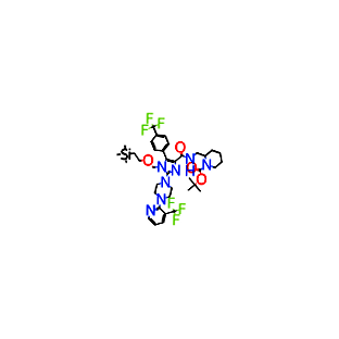 CC(C)(C)OC(=O)N1CCCCC1CNC(=O)c1nc(N2CCN(c3ncccc3C(F)(F)F)CC2)n(COCC[Si](C)(C)C)c1-c1ccc(C(F)(F)F)cc1